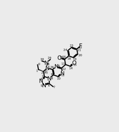 CC[C@@H]1c2nnc(C)n2-c2cnc(C(C=O)C(=O)c3ccc(F)cc3)nc2N1N(C)C